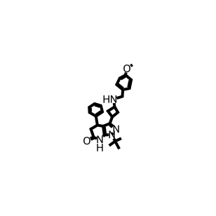 COc1ccc(CNC2CC(c3nn(C(C)(C)C)c4c3C(c3ccccc3)CC(=O)N4)C2)cc1